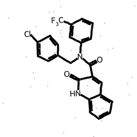 O=C(c1cc2ccccc2[nH]c1=O)N(Cc1ccc(Cl)cc1)c1cccc(C(F)(F)F)c1